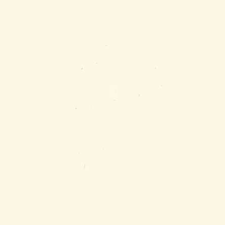 CS(CC(=O)Cc1ccccc1)(c1ccc(Cl)cc1)c1ccc(Cl)cc1